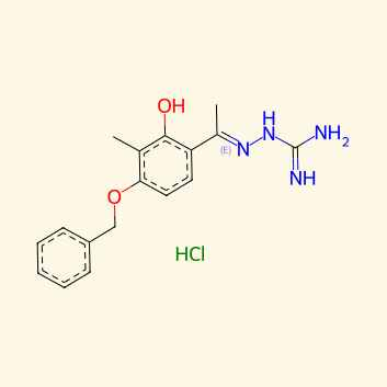 C/C(=N\NC(=N)N)c1ccc(OCc2ccccc2)c(C)c1O.Cl